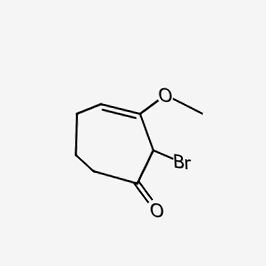 COC1=CCCCC(=O)C1Br